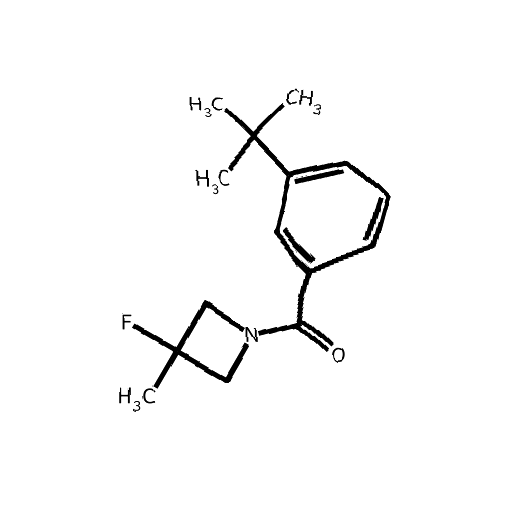 CC1(F)CN(C(=O)c2cccc(C(C)(C)C)c2)C1